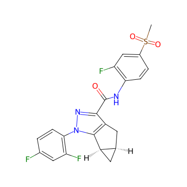 CS(=O)(=O)c1ccc(NC(=O)c2nn(-c3ccc(F)cc3F)c3c2C[C@H]2C[C@@H]32)c(F)c1